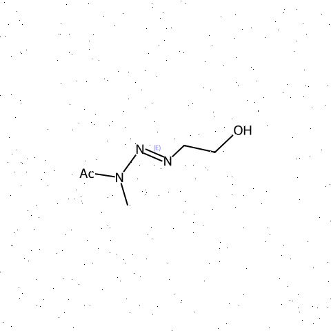 CC(=O)N(C)/N=N/CCO